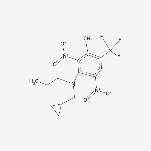 CCCN(CC1CC1)c1c([N+](=O)[O-])cc(C(F)(F)F)c(C)c1[N+](=O)[O-]